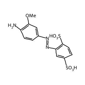 COc1cc(N=Nc2cc(S(=O)(=O)O)ccc2S(=O)(=O)O)ccc1N